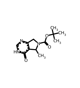 CC1c2c(nc[nH]c2=O)CN1C(=O)OC(C)(C)C